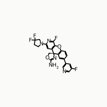 NC1=N[C@@]2(CO1)c1cc(-c3cncc(F)c3)ccc1Oc1c2cc(N2CCC(F)(F)C2)nc1F